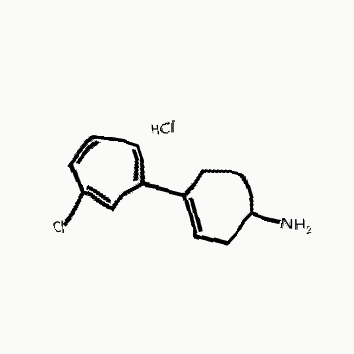 Cl.NC1CC=C(c2cccc(Cl)c2)CC1